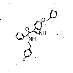 O=C(c1c[nH]c2cc(OCc3ccccc3)ccc12)[C@H](NCCc1ccc(F)cc1)c1ccccc1